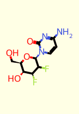 Nc1ccn([C@@H]2O[C@H](CO)[C@H](O)[C@H](F)C2F)c(=O)n1